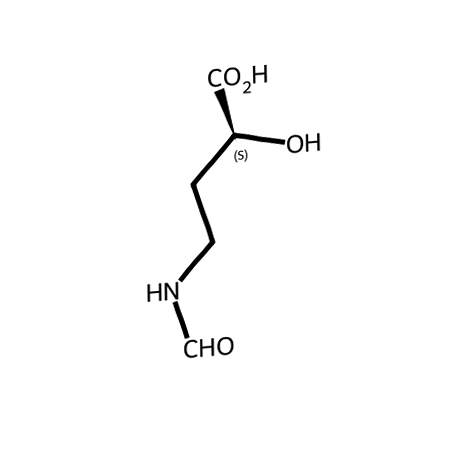 O=CNCC[C@H](O)C(=O)O